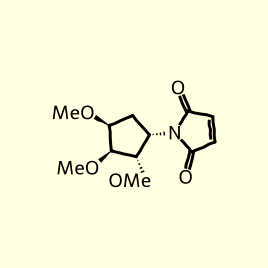 CO[C@@H]1[C@@H](OC)[C@@H](N2C(=O)C=CC2=O)C[C@@H]1OC